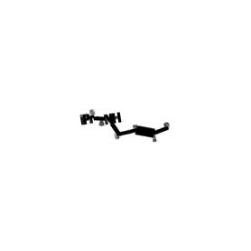 CC#CCNC(C)C